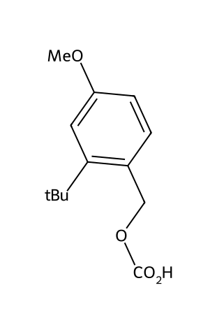 COc1ccc(COC(=O)O)c(C(C)(C)C)c1